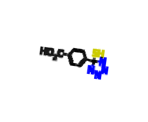 O=C(O)c1ccc(C2(S)N=NN=N2)cc1